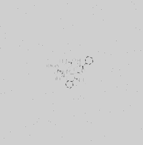 CC(C)N(C[C@@H](O)[C@@H](C(=O)[C@H](CC(N)=O)NC(=O)c1ccccc1)C(N)c1ccccc1)NC(=O)OC(C)(C)C